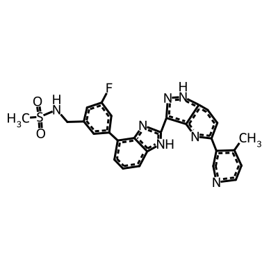 Cc1ccncc1-c1ccc2[nH]nc(-c3nc4c(-c5cc(F)cc(CNS(C)(=O)=O)c5)cccc4[nH]3)c2n1